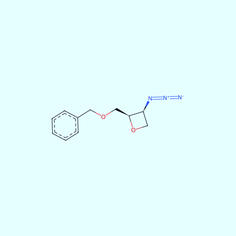 [N-]=[N+]=N[C@H]1CO[C@H]1COCc1ccccc1